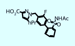 CCCc1cc(C(=O)O)nn1Cc1ccc(-c2ccccc2S(=O)(=O)NC(C)=O)cc1F